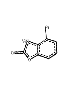 CC(C)c1cccc2oc(=O)[nH]c12